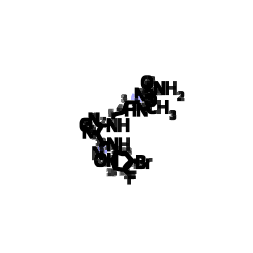 CN/C(CCCNc1nonc1/C(=N/O)Nc1ccc(F)c(Br)c1)=N\S(N)(=O)=O